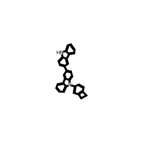 c1ccc2c(c1)[nH]c1ccc(-c3ccc4c(c3)c3ccccc3n4-c3ccc4c(c3)CC4)cc12